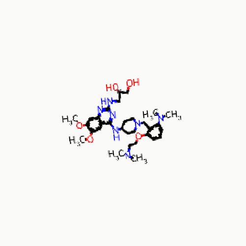 COc1cc2nc(NC[C@@H](O)CO)nc(NC3CCN(Cc4c(OCCN(C)C)cccc4N(C)C)CC3)c2cc1OC